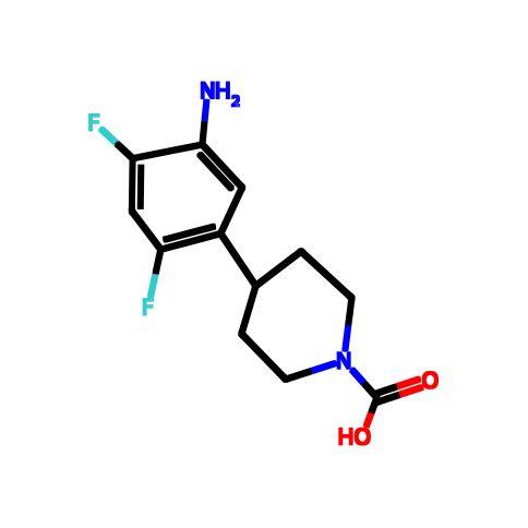 Nc1cc(C2CCN(C(=O)O)CC2)c(F)cc1F